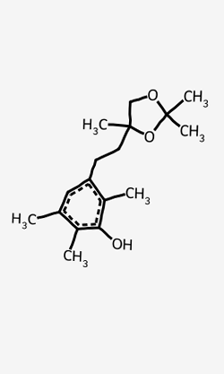 Cc1cc(CCC2(C)COC(C)(C)O2)c(C)c(O)c1C